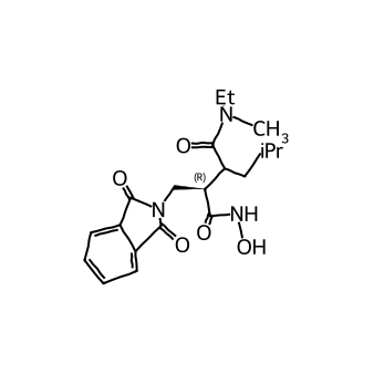 CCN(C)C(=O)C(CC(C)C)[C@H](CN1C(=O)c2ccccc2C1=O)C(=O)NO